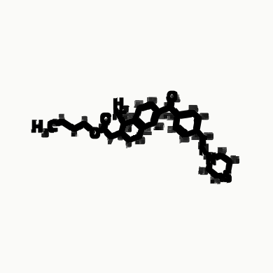 CCCCOC(=O)CC1CCc2cc(C(=O)c3ccc(C=NN4CCSCC4)cc3)ccc2C1N